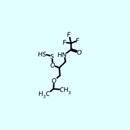 CC(C)OCC(CNC(=O)C(F)(F)F)OSS